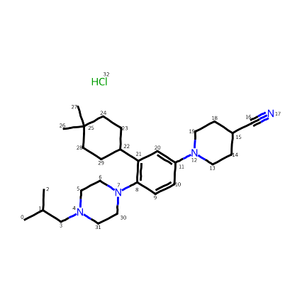 CC(C)CN1CCN(c2ccc(N3CCC(C#N)CC3)cc2C2CCC(C)(C)CC2)CC1.Cl